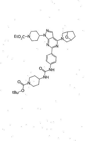 CCOC(=O)N1CCC(n2ncc3c(N4CC5CCC(C4)O5)nc(-c4ccc(NC(=O)NC5CCN(C(=O)OC(C)(C)C)CC5)cc4)nc32)CC1